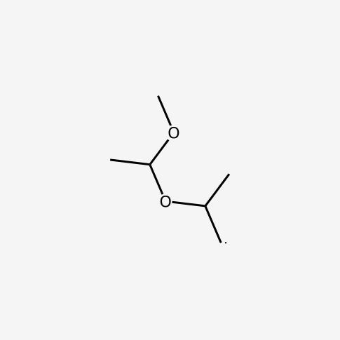 [CH2]C(C)OC(C)OC